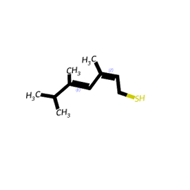 CC(=C/CS)/C=C(\C)C(C)C